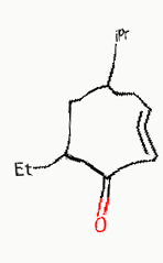 CCC1CC(C(C)C)C=CC1=O